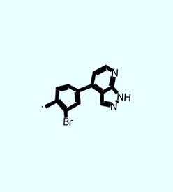 [CH2]c1ccc(-c2ccnc3[nH]ncc23)cc1Br